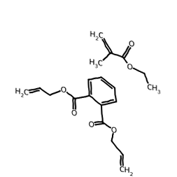 C=C(C)C(=O)OCC.C=CCOC(=O)c1ccccc1C(=O)OCC=C